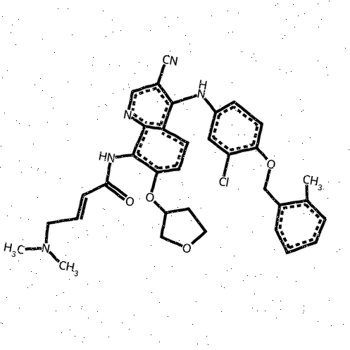 Cc1ccccc1COc1ccc(Nc2c(C#N)cnc3c(NC(=O)/C=C/CN(C)C)c(OC4CCOC4)ccc23)cc1Cl